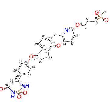 Cc1nc(OCCCS(C)(=O)=O)ccc1Oc1cccc2c1CC[C@H]2Oc1ccc(C2CC(=O)NS(=O)(=O)N2)cc1